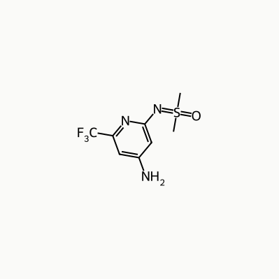 CS(C)(=O)=Nc1cc(N)cc(C(F)(F)F)n1